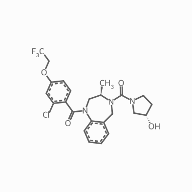 C[C@@H]1CN(C(=O)c2ccc(OCC(F)(F)F)cc2Cl)c2ccccc2CN1C(=O)N1CC[C@H](O)C1